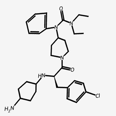 CCN(CC)C(=O)N(c1ccccc1)C1CCN(C(=O)[C@@H](Cc2ccc(Cl)cc2)NC2CCC(N)CC2)CC1